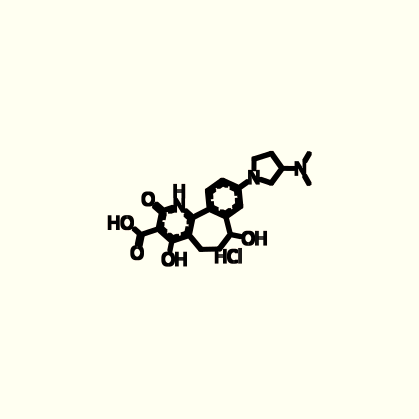 CN(C)C1CCN(c2ccc3c(c2)C(O)CCc2c-3[nH]c(=O)c(C(=O)O)c2O)C1.Cl